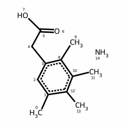 Cc1cc(CC(=O)O)c(C)c(C)c1C.N